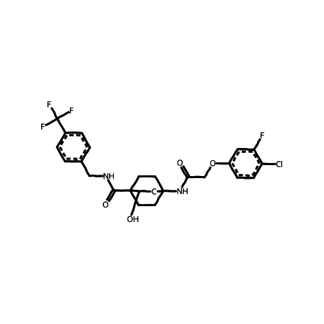 O=C(COc1ccc(Cl)c(F)c1)NC12CCC(C(=O)NCc3ccc(C(F)(F)F)cc3)(CC1)C(O)C2